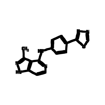 Cc1n[nH]c2ccnc(Nc3ccc(-c4nnco4)cc3)c12